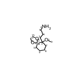 COC1(CCCN)CCCC[Si]1(OC)OC